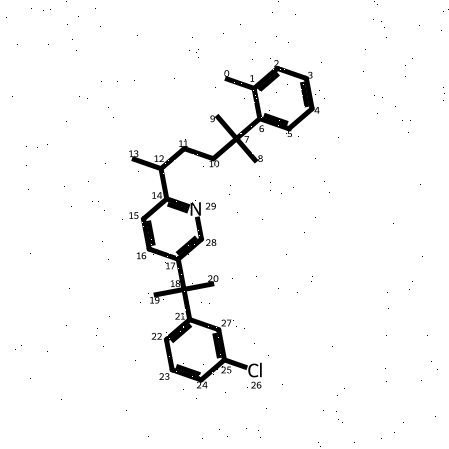 Cc1ccccc1C(C)(C)CCC(C)c1ccc(C(C)(C)c2cccc(Cl)c2)cn1